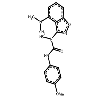 COc1ccc(NC(=O)N(S)c2noc3cccc(N(C)C)c23)cc1